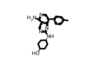 Cc1ccc(-c2cnc(N)c3cnc(N[C@H]4CC[C@H](O)CC4)nc23)cc1